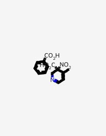 CC1=CC=NCC1(C(=O)O)[N+](=O)[O-].O=C(O)c1ccccc1